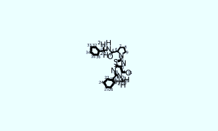 [2H]C([2H])(NC(=O)C1CCCN1c1nc2c(=O)n(C([2H])([2H])[2H])c(-c3ccccc3)nc2s1)c1ccccc1